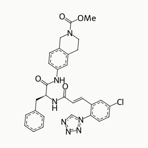 COC(=O)N1CCc2cc(NC(=O)[C@H](Cc3ccccc3)NC(=O)C=Cc3cc(Cl)ccc3-n3cnnn3)ccc2C1